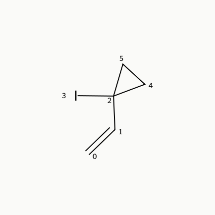 C=CC1(I)CC1